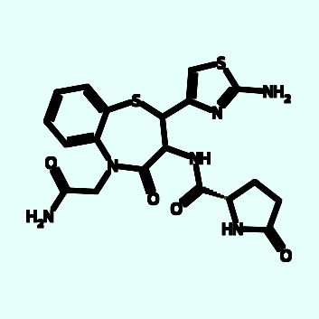 NC(=O)CN1C(=O)C(NC(=O)[C@@H]2CCC(=O)N2)C(c2csc(N)n2)Sc2ccccc21